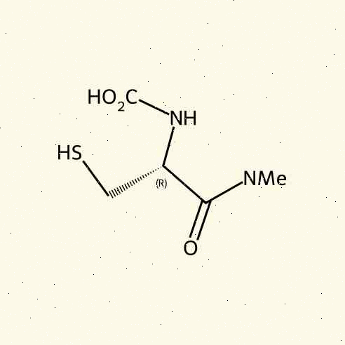 CNC(=O)[C@H](CS)NC(=O)O